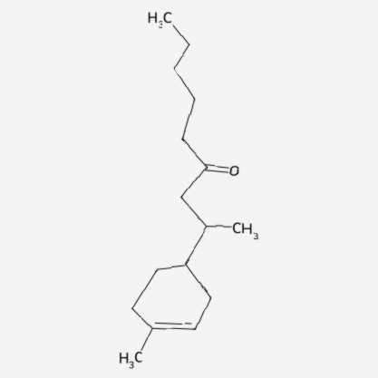 CCCCCC(=O)CC(C)C1CC=C(C)CC1